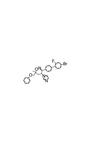 CC1(COc2ccccc2)CC(n2ccnc2)C(c2ccc(-c3ccc(Br)cc3F)cc2)=NO1